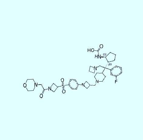 O=C(O)N[C@H]1CCC[C@@H]1C(CN1CCC1)(c1cccc(F)c1)C1CCN(CC2CN(c3ccc(S(=O)(=O)C4CN(C(=O)CN5CCOCC5)C4)cc3)C2)CC1